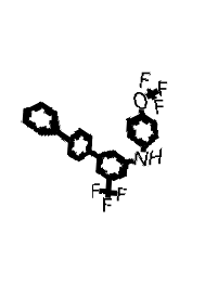 FC(F)(F)Oc1ccc(Nc2cc(-c3ccc(-c4ccccc4)cc3)cc(C(F)(F)F)c2)cc1